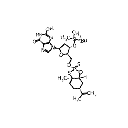 C=C(C)[C@H]1CC[C@@]2(C)S[P@](=S)(OC[C@H]3O[C@@H](n4cnc5c(=O)[nH]c(O)nc54)C[C@@H]3O[Si](C)(C)C(C)(C)C)O[C@@H]2C1